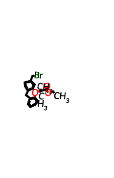 CCOC(=O)C(C)(C)Oc1ccccc1Cc1ccc(CBr)cc1